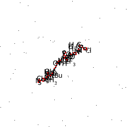 Cc1ncsc1-c1ccc([C@H](C)NC(=O)[C@@H]2C[C@@H](O)CN2C(=O)[C@@H](NC(=O)CCCCCCC(=O)N2C[C@@H]3C2CN3CC[C@H](CSc2ccccc2)Nc2ccc(S(=O)(=O)NC(=O)c3ccc(N4CCN(CC5=C(c6ccc(Cl)cc6)CCC(C)(C)C5)CC4)cc3)cc2S(=O)(=O)C(F)(F)F)C(C)(C)C)cc1